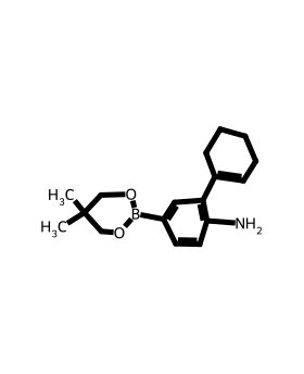 CC1(C)COB(c2ccc(N)c(C3=CCCCC3)c2)OC1